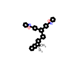 CC1(C)c2cc(-c3cccc(-c4cc(-c5ccc(-c6nc7ccccc7o6)cc5)cc(-c5ccc(-c6nc7ccccc7o6)cc5)c4)c3)ccc2-c2cc3ccccc3cc21